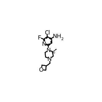 C[C@H]1CN(CC2COC2)CCN1c1cc(N)c(Cl)c(F)n1